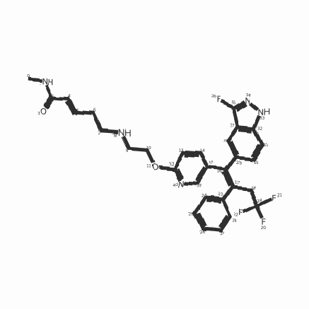 CNC(=O)/C=C/CCNCCOc1ccc(/C(=C(/CC(F)(F)F)c2ccccc2)c2ccc3[nH]nc(F)c3c2)cn1